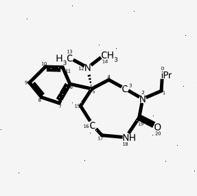 CC(C)CN1CC[C@@](c2ccccc2)(N(C)C)CCCNC1=O